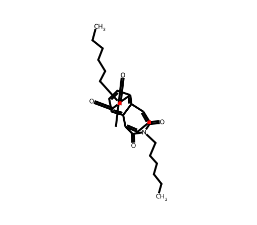 CCCCCCn1c(=O)c2ccc(c1=O)c1c3ccc(c(=O)n(CCCCCC)c3=O)c21